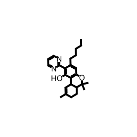 CCCCCc1cc2c(c(O)c1-c1ncccn1)C1C=C(C)CCC1C(C)(C)O2